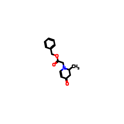 CC1CC(=O)C=CN1CC(=O)OCc1ccccc1